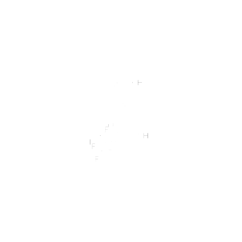 CCC(C)c1ccc(OC(CC(C)C2CCCCC2)OC(C(F)(F)F)C(F)(F)F)cc1